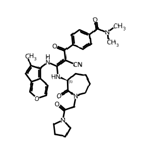 Cc1cc2coccc-2c1NC(N[C@H]1CCCCN(CC(=O)N2CCCC2)C1=O)=C(C#N)C(=O)c1ccc(C(=O)N(C)C)cc1